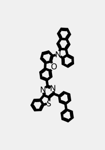 c1ccc(-c2cccc(-c3nc(-c4ccc5c(c4)oc4c(-n6c7ccccc7c7cc8ccccc8cc76)cccc45)nc4c3sc3ccccc34)c2)cc1